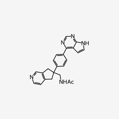 CC(=O)NCC1(c2ccc(-c3ncnc4[nH]ccc34)cc2)Cc2ccncc2C1